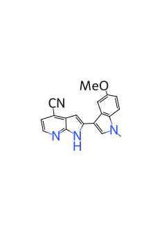 COc1ccc2c(c1)c(-c1cc3c(C#N)ccnc3[nH]1)cn2C